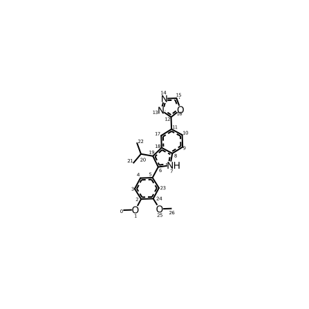 COc1ccc(-c2[nH]c3ccc(-c4nn[c]o4)cc3c2C(C)C)cc1OC